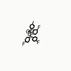 Cc1ccc(S(=O)(=O)OS(c2ccc(F)cc2)(c2ccc(F)cc2)c2ccc(F)cc2)cc1